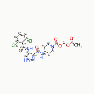 CC(=O)OCOC(=O)N1CCC(NC(=O)c2n[nH]cc2NC(=O)c2c(Cl)cccc2Cl)CC1